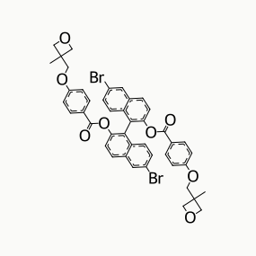 CC1(COc2ccc(C(=O)Oc3ccc4cc(Br)ccc4c3-c3c(OC(=O)c4ccc(OCC5(C)COC5)cc4)ccc4cc(Br)ccc34)cc2)COC1